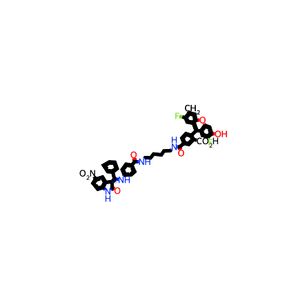 C=c1cc2c(cc1F)=C(c1ccc(C(=O)NCCCCCCNC(=O)c3ccc(N/C(=C4\C(=O)Nc5ccc([N+](=O)[O-])cc54)c4ccccc4)cc3)cc1C(=O)O)c1cc(F)c(O)cc1O2